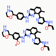 C=CC(=O)Nc1ccnc(-c2c(C)ccc3cnc(Nc4ccc(C5CNCCO5)cc4)nc23)c1.C=CC(=O)Nc1ccnc(-c2c(C)ccc3cnc(Nc4ccc(C5CNCCO5)cc4OC)nc23)c1